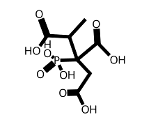 CC(C(=O)O)C(CC(=O)O)(C(=O)O)P(=O)(O)O